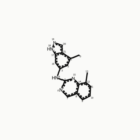 Cc1cc(Nc2ncc3cccc(C)c3n2)cc2[nH]ncc12